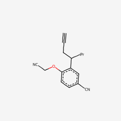 C#CCC(c1cc(C#N)ccc1OCC#N)C(C)C